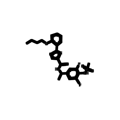 CCCCOc1ccccc1-c1nc(C(=O)NC(C)c2cc(F)c(NS(C)(=O)=O)c(F)c2)co1